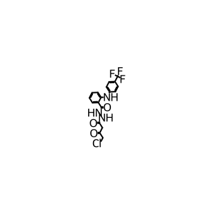 O=C(CCl)CC(=O)NNC(=O)c1ccccc1Nc1ccc(C(F)(F)F)cc1